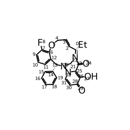 CC[C@H]1/C=C/COc2c(F)cccc2[C@@H](c2ccccc2)N2CN1C(=O)c1c(O)c(=O)ccn12